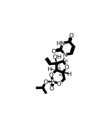 C=C[C@@]1(O)[C@@H]2O[P@](=O)(OC(C)C)OC[C@H]2O[C@H]1n1ccc(=O)[nH]c1=O